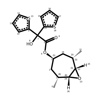 C[C@@H]1C[C@@H](OC(=O)C(O)(c2cccs2)c2cccs2)C[C@H](C)[C@@H]2O[C@@H]21